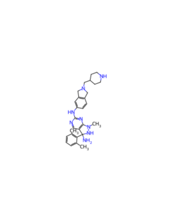 Cc1cccc(C)c1C1(N)NN(C)c2nc(Nc3ccc4c(c3)CN(CC3CCNCC3)C4)ncc21